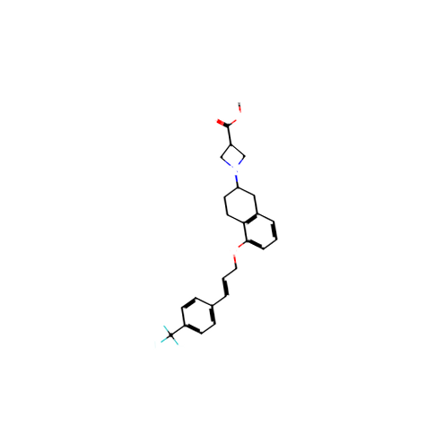 COC(=O)C1CN(C2CCc3c(cccc3OC/C=C/c3ccc(C(F)(F)F)cc3)C2)C1